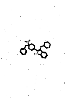 CN(C)C1(Cc2ccccc2)CC=C(c2[nH]c3ccccc3c2CC2CCCCC2)CC1